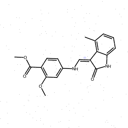 COC(=O)c1ccc(N/C=C2\C(=O)Nc3cccc(C)c32)cc1OC